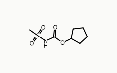 CS(=O)(=O)NC(=O)OC1CCCC1